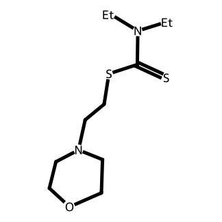 CCN(CC)C(=S)SCCN1CCOCC1